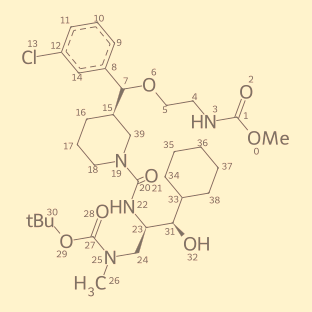 COC(=O)NCCOC(c1cccc(Cl)c1)[C@@H]1CCCN(C(=O)N[C@H](CN(C)C(=O)OC(C)(C)C)[C@H](O)C2CCCCC2)C1